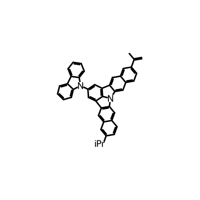 C=C(C)c1ccc2cc3c(cc2c1)c1cc(-n2c4ccccc4c4ccccc42)cc2c4cc5cc(C(C)C)ccc5cc4n3c12